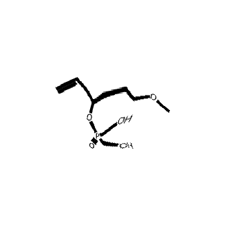 C=CC(CCOC)OP(=O)(O)O